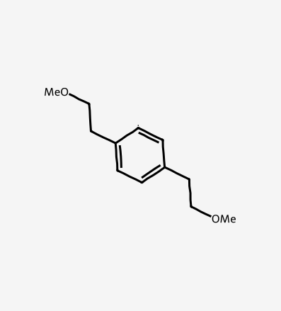 COCCc1[c]cc(CCOC)cc1